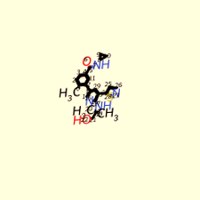 Cc1ccc(C(=O)NC2CC2)cc1-c1cnc(NC(C)(C)CO)c(-c2ccns2)c1